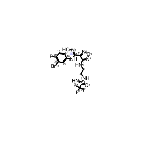 N=S(=O)(NCCNc1nonc1/C(=N/O)Nc1ccc(F)c(Br)c1)C(F)(F)F